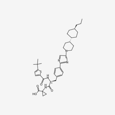 CCC[C@H]1CC[C@H](C2CCN(c3cnc(-c4ccc(C[C@H](NC(=O)c5ccc(C(C)(C)C)s5)C(=O)NC5(C(=O)O)CC5)cc4)nc3)CC2)CC1